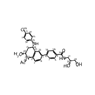 CC(=O)N1c2ccc(-c3ccc(C(=O)NC[C@H](O)CO)cc3)cc2[C@H](Nc2ccc(Cl)cc2)C[C@@H]1C